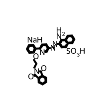 Nc1c(N=Nc2ccc(-c3ccccc3OCCCN3C(=O)c4ccccc4C3=O)nc2)cc(S(=O)(=O)O)c2ccccc12.[NaH]